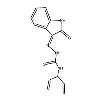 C=CC(C=C)NC(=S)N/N=C1\C(=O)Nc2ccccc21